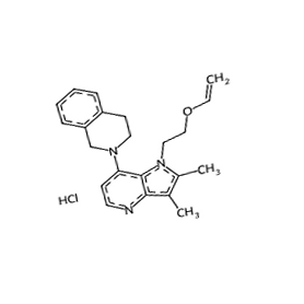 C=COCCn1c(C)c(C)c2nccc(N3CCc4ccccc4C3)c21.Cl